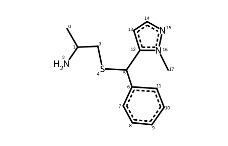 CC(N)CSC(c1ccccc1)c1ccnn1C